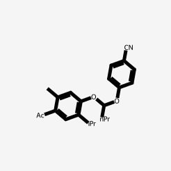 CCCC(Oc1ccc(C#N)cc1)Oc1cc(C)c(C(C)=O)cc1C(C)C